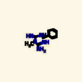 CN(C(=N)N)C(=N)NCc1ccccc1